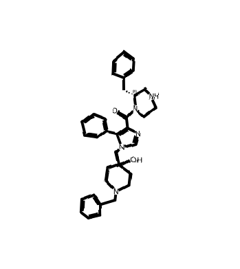 O=C(c1ncn(CC2(O)CCN(Cc3ccccc3)CC2)c1-c1ccccc1)N1CCNC[C@H]1Cc1ccccc1